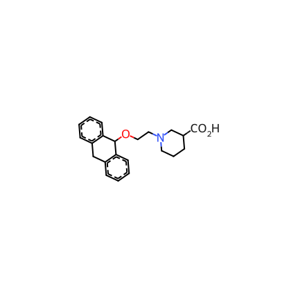 O=C(O)C1CCCN(CCOC2c3ccccc3Cc3ccccc32)C1